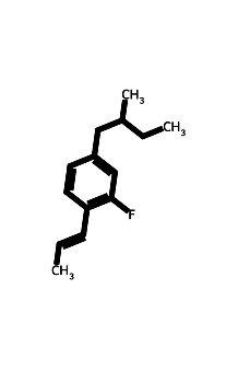 C/C=C/c1ccc(CC(C)CC)cc1F